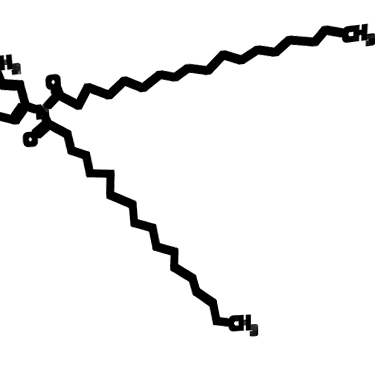 CCCCCCCCCCCCCCCCCC(=O)N(C(=O)CCCCCCCCCCCCCCCCC)c1cccc(N)c1